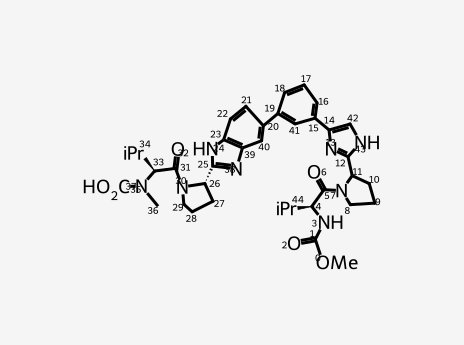 COC(=O)N[C@H](C(=O)N1CCCC1c1nc(-c2cccc(-c3ccc4[nH]c([C@@H]5CCCN5C(=O)[C@H](C(C)C)N(C)C(=O)O)nc4c3)c2)c[nH]1)C(C)C